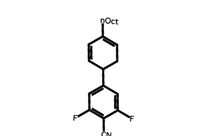 CCCCCCCCC1=CCC(c2cc(F)c(C#N)c(F)c2)C=C1